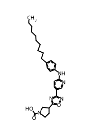 CCCCCCCCCCc1ccc(Nc2ccc(-c3noc(C4CCN(C(=O)O)C4)n3)cn2)cc1